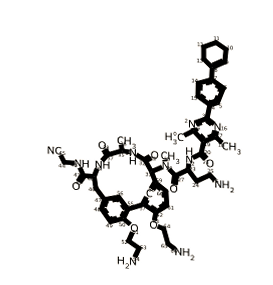 Cc1nc(-c2ccc(C3=CCCCC3)cc2)nc(C)c1C(=O)NC(CCN)C(=O)N(C)C1C(=O)NC(C)C(=O)NC(C(=O)NCC#N)Cc2ccc(OCCN)c(c2)-c2cc1ccc2OCCN